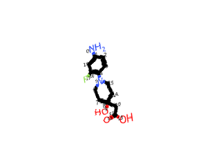 Nc1ccc(N2CCC(O)(CC(=O)O)CC2)c(F)c1